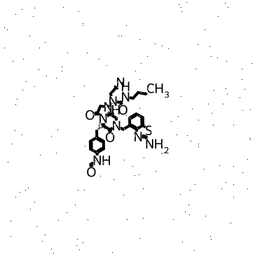 CCCCNC(=O)N(CC#N)N1CC(=O)N2[C@@H](Cc3ccc(NC=O)cc3)C(=O)N(Cc3cccc4sc(N)nc34)C[C@@H]21